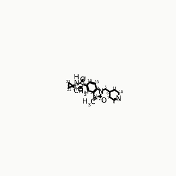 Cn1c(=O)n(CC2CC=NCC2)c2ccc(S(=O)(=O)NC3(C)CC3)cc21